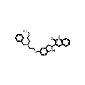 COCCN(CCOc1ccc2c(c1)CC(c1cc3ccccc3[nH]c1=O)N2)Cc1ccccc1